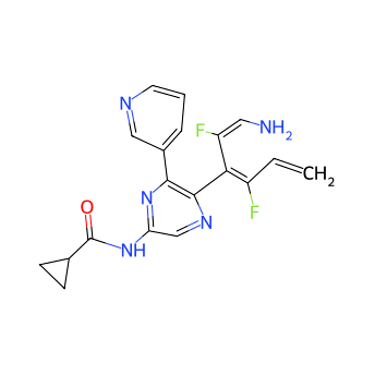 C=C/C(F)=C(\C(F)=C/N)c1ncc(NC(=O)C2CC2)nc1-c1cccnc1